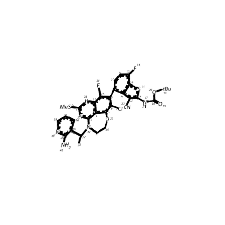 CSc1nc2c3c(c(Cl)c(-c4ccc(F)c5sc(NC(=O)OC(C)(C)C)c(C#N)c45)c(F)c3n1)OCCN2C(C)c1cccnc1N